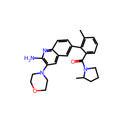 Cc1cccc(C(=O)N2CCCC2C)c1-c1ccc2nc(N)c(N3CCOCC3)cc2c1